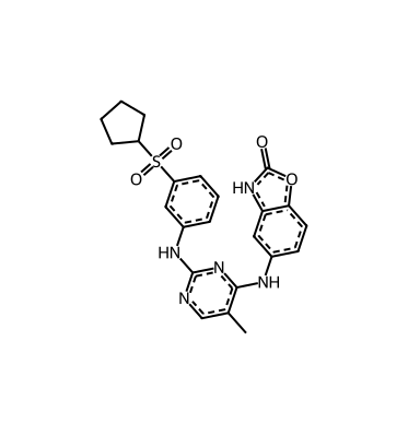 Cc1cnc(Nc2cccc(S(=O)(=O)C3CCCC3)c2)nc1Nc1ccc2oc(=O)[nH]c2c1